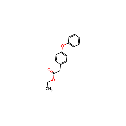 CCOC(=O)Cc1ccc(Oc2ccccc2)cc1